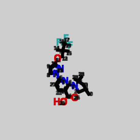 CC1CN(c2nc(-n3ccc(OCC(C)(C)C(F)(F)F)n3)ccc2C(=O)O)C(C)(C)C1